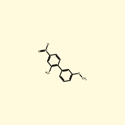 COc1cc[c]c(-c2ccc([N+](=O)[O-])cc2C)c1